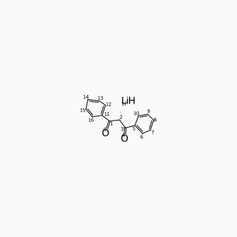 O=C(CC(=O)c1ccccc1)c1ccccc1.[LiH]